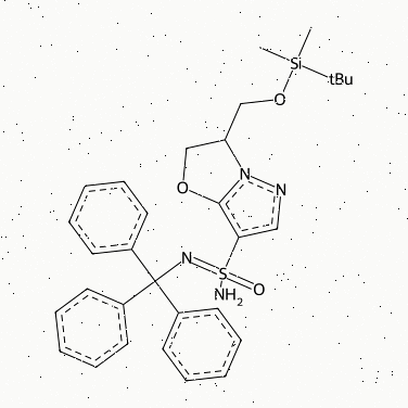 CC(C)(C)[Si](C)(C)OCC1COc2c(S(N)(=O)=NC(c3ccccc3)(c3ccccc3)c3ccccc3)cnn21